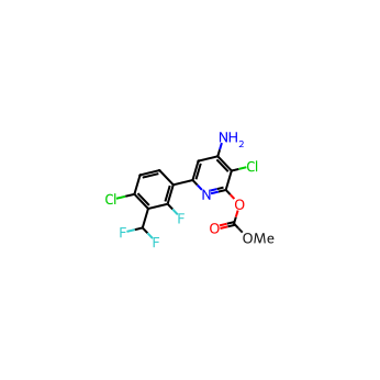 COC(=O)Oc1nc(-c2ccc(Cl)c(C(F)F)c2F)cc(N)c1Cl